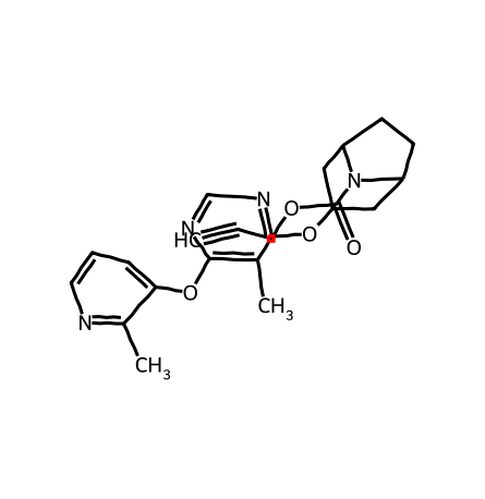 C#CCOC(=O)N1C2CCC1CC(Oc1ncnc(Oc3cccnc3C)c1C)C2